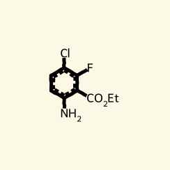 CCOC(=O)c1c(N)ccc(Cl)c1F